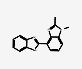 CC1=Nc2c(-c3nc4ccccc4[nH]3)cccc2[N+]1C